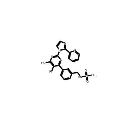 CC(C)c1c(O)nc(-n2ccnc2-c2ccccn2)nc1-c1cccc(CNS(C)(=O)=O)c1